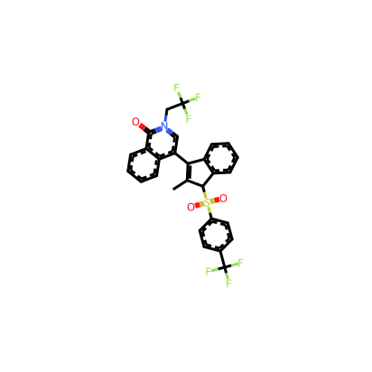 CC1=C(c2cn(CC(F)(F)F)c(=O)c3ccccc23)c2ccccc2C1S(=O)(=O)c1ccc(C(F)(F)F)cc1